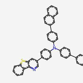 c1ccc(-c2ccc(N(c3ccc(-c4ccc5ccccc5c4)cc3)c3ccc(-c4cnc5c(c4)sc4ccccc45)cc3)cc2)cc1